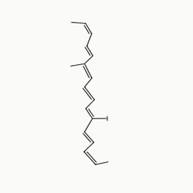 C\C=C/C=C/C(I)=C/C=C/C=C(C)/C=C/C=C\C